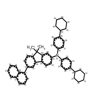 CC1(C)c2ccc(-c3cccc4ccccc34)cc2-c2ccc(N(c3ccc(C4CCCCC4)cc3)c3ccc(C4CCCCC4)cc3)cc21